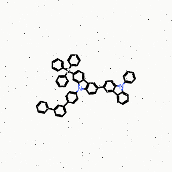 c1ccc(-c2cccc(-c3ccc(-n4c5ccc(-c6ccc7c(c6)c6ccccc6n7-c6ccccc6)cc5c5ccc([Si](c6ccccc6)(c6ccccc6)c6ccccc6)cc54)cc3)c2)cc1